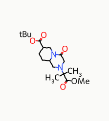 COC(=O)C(C)(C)N1CC(=O)N2CC(C(=O)OC(C)(C)C)CCC2C1